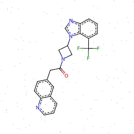 O=C(Cc1ccc2ncccc2c1)N1CC(n2cnc3cccc(C(F)(F)F)c32)C1